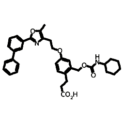 Cc1oc(-c2cccc(-c3ccccc3)c2)nc1CCOc1ccc(CCC(=O)O)c(COC(=O)NC2CCCCC2)c1